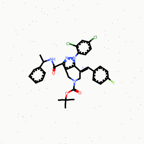 CC(NC(=O)c1nn(-c2ccc(Cl)cc2Cl)c2c1CN(C(=O)OC(C)(C)C)C/C2=C\c1ccc(F)cc1)c1ccccc1